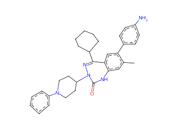 Cc1cc2c(cc1-c1ccc(N)cc1)C(C1CCCCC1)=NN(C1CCN(c3ccccc3)CC1)C(=O)N2